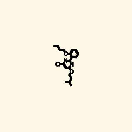 CCCCOc1ccccc1-c1nc(Cl)cc(OCCC(C)C)n1